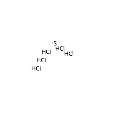 Cl.Cl.Cl.Cl.Cl.[S]